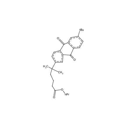 CCCOC(=O)CCCC(C)(C)c1ccc2c(c1)C(=O)c1ccc(C(C)(C)C)cc1C2=O